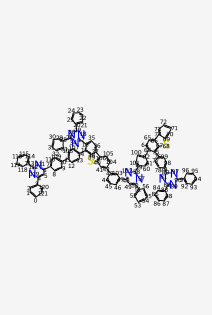 c1ccc(-c2cc(-c3ccc(-c4ccc(-c5c(-c6nc(-c7ccccc7)nc(-c7ccccc7)n6)ccc6c5sc5cc(-c7cccc(-c8cc(-c9ccccc9)nc(-c9ccc(-c%10ccc%11c(sc%12ccccc%12%11)c%10-c%10ccc(-c%11nc(-c%12ccccc%12)nc(-c%12ccccc%12)n%11)cc%10)cc9)n8)c7)ccc56)cc4)cc3)nc(-c3ccccc3)n2)cc1